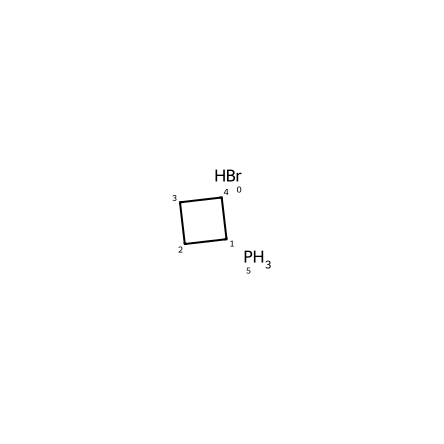 Br.C1CCC1.P